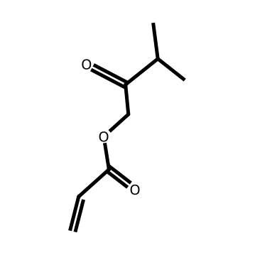 C=CC(=O)OCC(=O)C(C)C